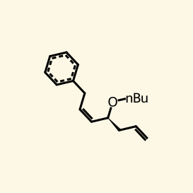 C=CC[C@@H](/C=C\Cc1ccccc1)OCCCC